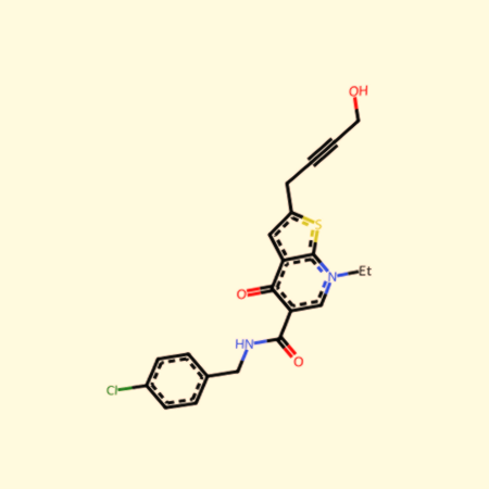 CCn1cc(C(=O)NCc2ccc(Cl)cc2)c(=O)c2cc(CC#CCO)sc21